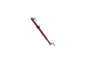 CCCCCCCCCCCCCCCCCCCCCCCCCCCCCCCCCCCCCCC(=O)OCCCCCCCCCCCCCCCCCCC